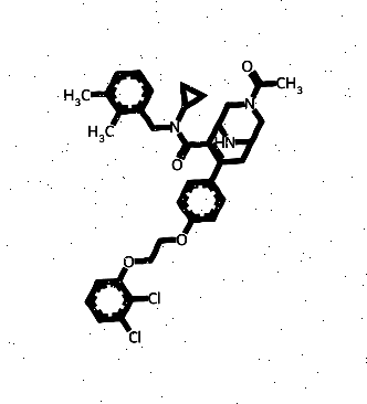 CC(=O)N1CC2CC(c3ccc(OCCOc4cccc(Cl)c4Cl)cc3)=C(C(=O)N(Cc3cccc(C)c3C)C3CC3)C(C1)N2